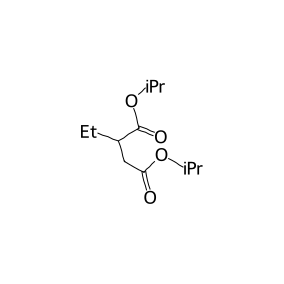 CCC(CC(=O)OC(C)C)C(=O)OC(C)C